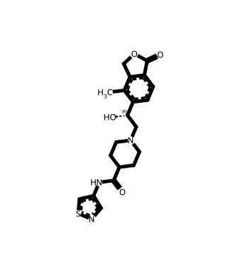 Cc1c([C@@H](O)CN2CCC(C(=O)Nc3cnsc3)CC2)ccc2c1COC2=O